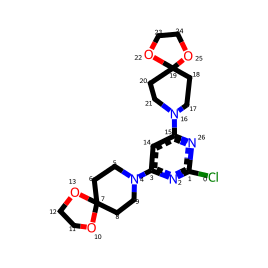 Clc1nc(N2CCC3(CC2)OCCO3)cc(N2CCC3(CC2)OCCO3)n1